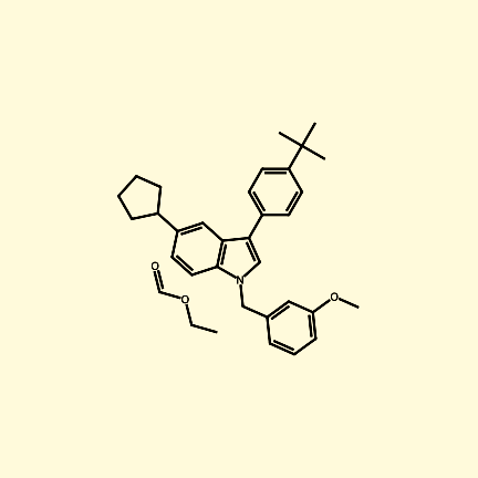 CCOC=O.COc1cccc(Cn2cc(-c3ccc(C(C)(C)C)cc3)c3cc(C4CCCC4)ccc32)c1